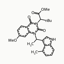 CCCCC(C(=O)OC)n1c(=O)c2ccc(OC)cc2n(C(C)c2c[nH]c3cccc(C)c23)c1=O